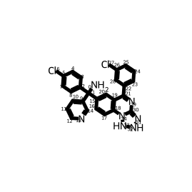 NC(c1ccc(Cl)cc1)(c1cccnc1)c1ccc2c(c1)C(c1cccc(Cl)c1)=NC1=NNNN12